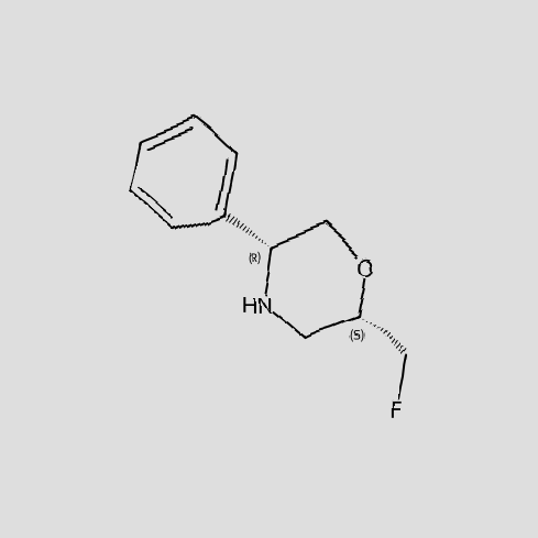 FC[C@@H]1CN[C@H](c2ccccc2)CO1